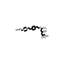 CCCOCN1C=CN(CCc2ccc(CCOC(C)CC(O)CC(C)CO)cc2)CC1